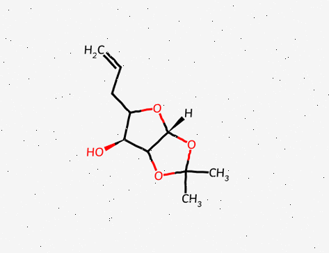 C=CCC1O[C@@H]2OC(C)(C)OC2[C@H]1O